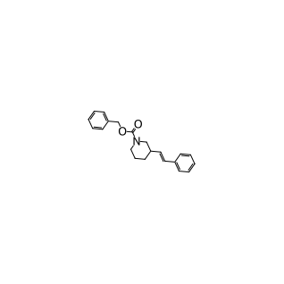 O=C(OCc1ccccc1)N1CCCC(/C=C/c2ccccc2)C1